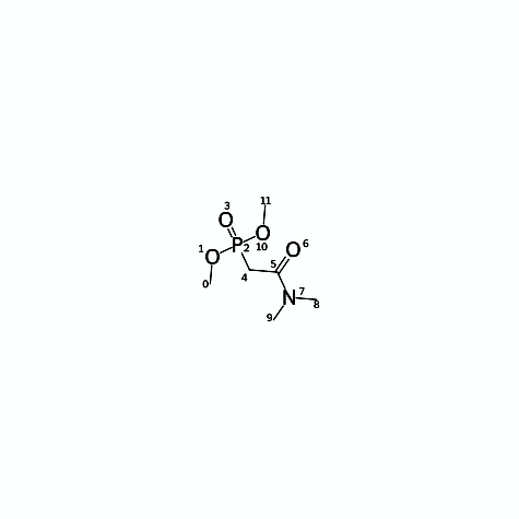 COP(=O)(CC(=O)N(C)C)OC